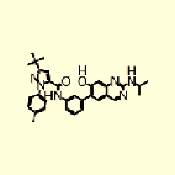 Cc1ccc(-n2nc(C(C)(C)C)cc2C(=O)Nc2cccc(-c3cc4cnc(NC(C)C)nc4cc3O)c2)cc1